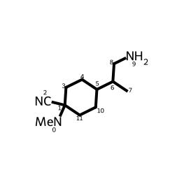 CNC1(C#N)CCC(C(C)CN)CC1